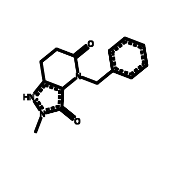 Cn1[nH]c2c(c1=O)N(Cc1ccccc1)C(=O)CC2